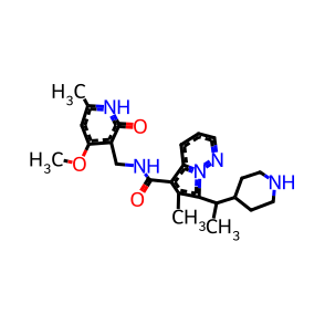 COc1cc(C)[nH]c(=O)c1CNC(=O)c1c(C)c(C(C)C2CCNCC2)n2ncccc12